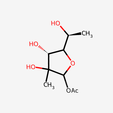 CC(=O)OC1OC([C@H](C)O)[C@@H](O)C1(C)O